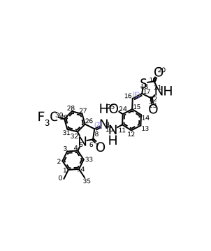 Cc1ccc(N2C(=O)/C(=N\Nc3cccc(/C=C4/SC(=O)NC4=O)c3O)c3ccc(C(F)(F)F)cc32)cc1C